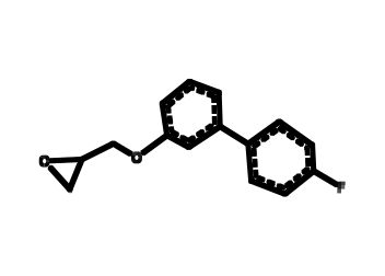 Fc1ccc(-c2cccc(OCC3CO3)c2)cc1